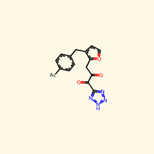 CC(=O)c1ccc(Cc2ccoc2CC(=O)C(=O)c2nn[nH]n2)cc1